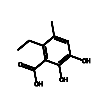 CCc1c(C)cc(O)c(O)c1C(=O)O